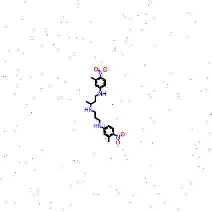 Cc1cc(NCCCNC(C)CCNc2ccc([N+](=O)[O-])c(C)c2)ccc1[N+](=O)[O-]